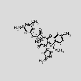 CC[C@H](c1ccc(C)cc1)N1C(=O)N2C(=O)[C@H](Cc3cc(C)nc(N)c3)[C@H]2C(=O)N1c1cnn(C)c1